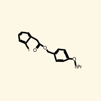 CCCOc1ccc(COC(=O)Cc2ccccc2I)cc1